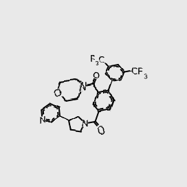 O=C(c1ccc(-c2cc(C(F)(F)F)cc(C(F)(F)F)c2)c(C(=O)N2CCOCC2)c1)N1CCC(c2cccnc2)C1